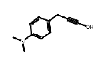 CN(C)c1ccc(CC#CO)cc1